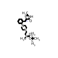 C=c1[nH]c(=O)/c(=C/c2ccccc2N2CCN(CCN(C)C(=O)OC(C)(C)C)CC2)s1